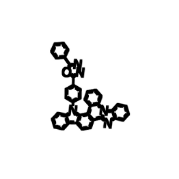 c1ccc(-c2nnc(-c3ccc(-n4c5ccccc5c5ccc6c(c7ccccc7n7c8ccccc8nc67)c54)cc3)o2)cc1